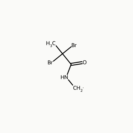 [CH2]NC(=O)C(C)(Br)Br